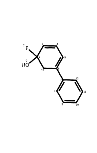 OC1(F)C=CC=C(c2ccccc2)C1